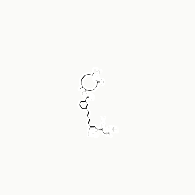 CC(C=CC=Cc1cccc(C(=O)OC2CCCC(=O)OC(C(C)C)CC=CCC2C)c1)=C[C@H](O)[C@@H](O)C[C@H](C)O